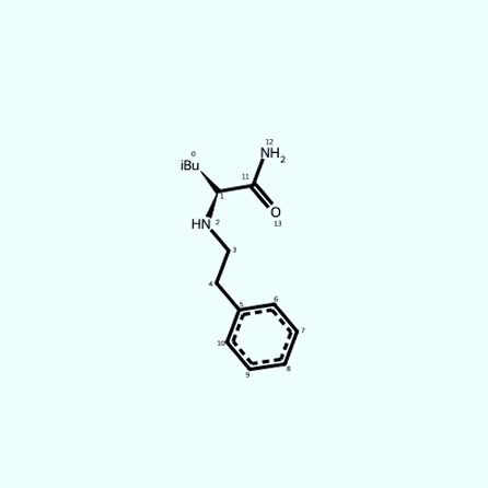 CC[C@H](C)[C@H](NCCc1ccccc1)C(N)=O